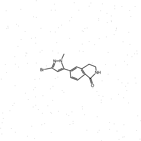 Cn1nc(Br)cc1-c1ccc2c(c1)CCNC2=O